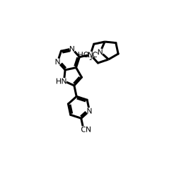 N#Cc1ccc(-c2cc3c(N4CC5CCC(C4)N5C(=O)O)ncnc3[nH]2)cn1